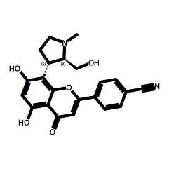 CN1CC[C@@H](c2c(O)cc(O)c3c(=O)cc(-c4ccc(C#N)cc4)oc23)[C@@H]1CO